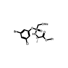 COCP(=O)(N[C@@H](C)C(=O)OC(C)C)Oc1cc(Cl)cc(Br)c1